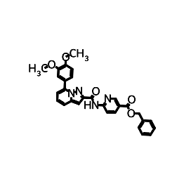 COc1ccc(-c2cccc3cc(C(=O)Nc4ccc(C(=O)OCc5ccccc5)cn4)nn23)cc1OC